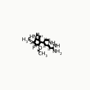 CCOc1c(F)c(SC)c2[nH]ncc2c1C1=C/C(=C/C(=N)N)NC=C1